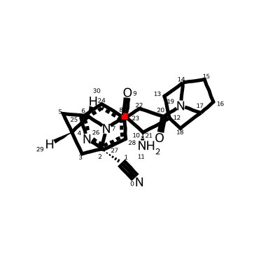 N#C[C@@H]1C[C@@H]2C[C@@H]2N1C(=O)[C@@H](N)C1CC2CCC(C1)N2C(=O)Cc1ccncc1